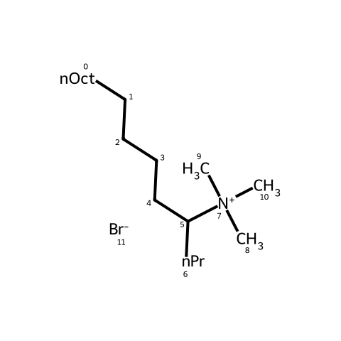 CCCCCCCCCCCCC(CCC)[N+](C)(C)C.[Br-]